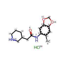 CC(=O)c1cc2c(cc1NC(=O)CC1CCCNC1)OCO2.Cl